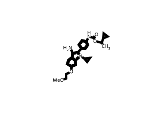 COCCOc1ccc2c(N)c(-c3ccc(NC(=O)OC(C)C4CC4)cc3)n(C3CC3)c2c1